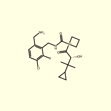 CC(C)(C1CC1)[C@@H](O)C(=O)[N+]1(C(=O)NCc2c(CN)ccc(Cl)c2F)CCC1